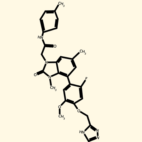 COc1cc(-c2cc(C)cc3c2n(C)c(=O)n3CC(=O)Nc2ccc(C)cc2)c(F)cc1OCc1nnc[nH]1